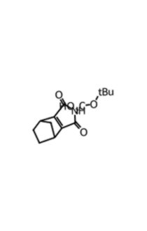 CC(C)(C)OC(=O)O.O=C1NC(=O)C2=C1C1CCC2C1